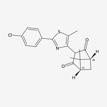 Cc1sc(-c2ccc(Cl)cc2)nc1C1C(=O)[C@H]2C[C@@H](C1=O)C2(C)C